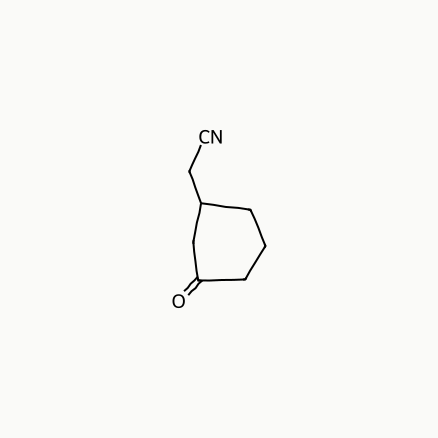 N#CCC1CCCC(=O)C1